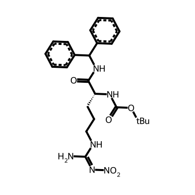 CC(C)(C)OC(=O)N[C@H](CCCN/C(N)=N\[N+](=O)[O-])C(=O)NC(c1ccccc1)c1ccccc1